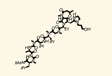 CC[C@@H](C(=O)N(C)[C@H](C)C(=O)N(C)[C@@H](CC(C)C)C(=O)N[C@H](C(=O)N(C)C(=O)NC(C)C(=O)NC(=O)N(C)[C@@H](CC(C)C)C(=O)NC)C(C)C)N1C(=O)[C@@H]2[C@H](OC(C)CC(=O)N2C)[C@H]1CC1NCCN1CCCO